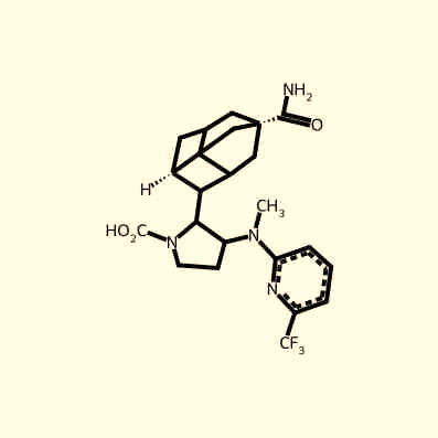 CN(c1cccc(C(F)(F)F)n1)C1CCN(C(=O)O)C1C1C2CC3C[C@H]1C[C@@](C(N)=O)(C3)C2